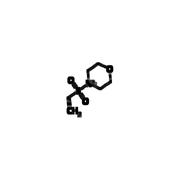 C=CS(=O)(=O)[N+]1CCOCC1